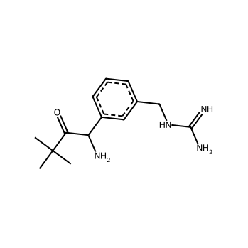 CC(C)(C)C(=O)C(N)c1cccc(CNC(=N)N)c1